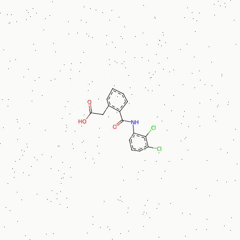 O=C(O)Cc1ccccc1C(=O)Nc1cccc(Cl)c1Cl